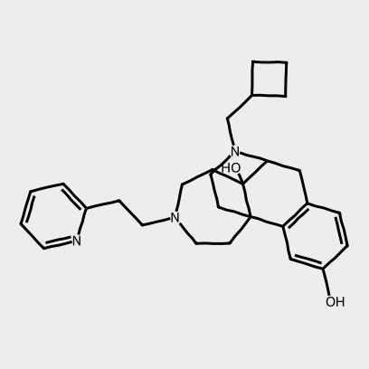 Oc1ccc2c(c1)C13CCN(CCc4ccccn4)CCC1(O)C(C2)N(CC1CCC1)CC3